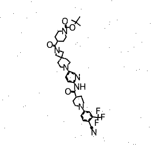 CC(C)(C)OC(=O)N1CCC(C(=O)N2CC3(CCN(c4ccc(NC(=O)C5CCN(c6ccc(C#N)c(C(F)(F)F)c6)CC5)nc4)CC3)C2)CC1